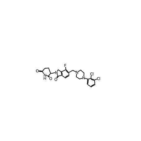 O=C1CCC(N2Cc3c(ccc(CN4CCN(c5cccc(Cl)c5Cl)CC4)c3F)C2=O)C(=O)N1